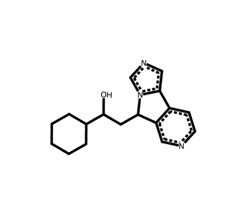 OC(CC1c2cnccc2-c2cncn21)C1CCCCC1